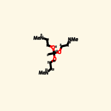 CNCCOC(C)(OCCNC)OCCNC